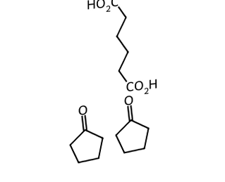 O=C(O)CCCCC(=O)O.O=C1CCCC1.O=C1CCCC1